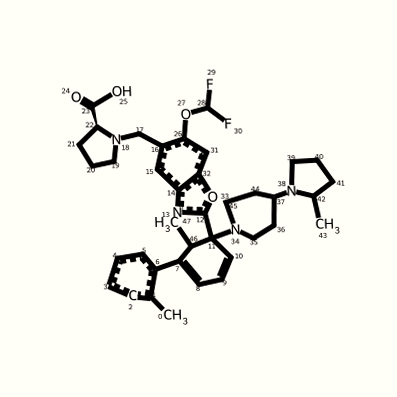 Cc1ccccc1C1=CC=CC(c2nc3cc(CN4CCC[C@H]4C(=O)O)c(OC(F)F)cc3o2)(N2CCC(N3CCCC3C)CC2)C1C